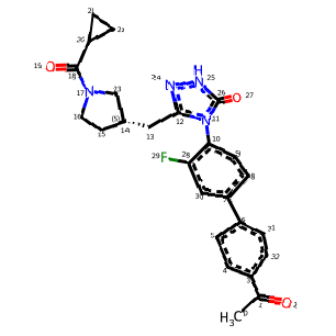 CC(=O)c1ccc(-c2ccc(-n3c(C[C@@H]4CCN(C(=O)C5CC5)C4)n[nH]c3=O)c(F)c2)cc1